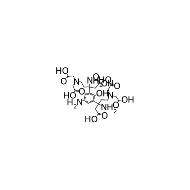 Nc1cc(C(N)(CCN(CC(=O)O)CC(=O)O)CC(=O)O)c(O)c(C(N)(CCN(CC(=O)O)CC(=O)O)CC(=O)O)c1